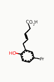 CC(C)c1ccc(O)c(C/C=C/CC(=O)O)c1